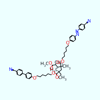 CCC(C)(CC(C)(CC(C)C(=O)OC)C(=O)OCCCCCCOc1ccc(/N=N/c2ccc(C#N)cc2)cc1)C(=O)OCCCCCCOc1ccc(-c2ccc(C#N)cc2)cc1